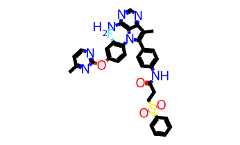 Cc1ccnc(Oc2ccc(-n3c(-c4ccc(NC(=O)CCS(=O)(=O)c5ccccc5)cc4)c(C)c4ncnc(N)c43)c(F)c2)n1